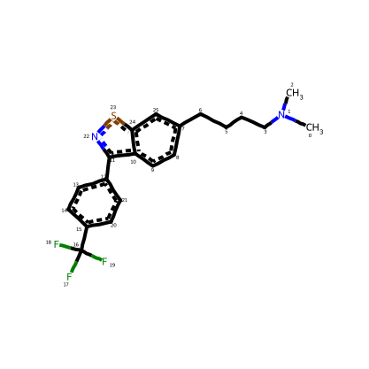 CN(C)CCCCc1ccc2c(-c3ccc(C(F)(F)F)cc3)nsc2c1